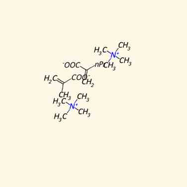 C=C(C)C(=O)[O-].C=C(CCC)C(=O)[O-].C[N+](C)(C)C.C[N+](C)(C)C